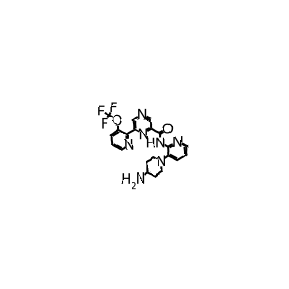 NC1CCN(c2cccnc2NC(=O)c2cncc(-c3ncccc3OC(F)(F)F)n2)CC1